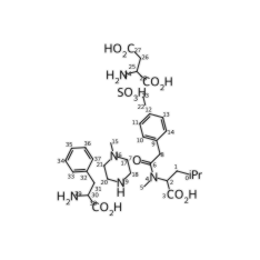 CC(C)CC(C(=O)O)N(C)C(=O)Cc1ccccc1.CN1CCNCC1.CS(=O)(=O)O.NC(CC(=O)O)C(=O)O.NC(Cc1ccccc1)C(=O)O